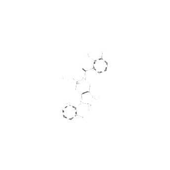 C[C@@H]1CC2=C(CN1C(=O)c1cccc(Cl)c1Cl)NNN2c1ncccc1F